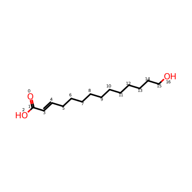 O=C(O)C=CCCCCCCCCCCCO